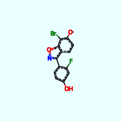 [O]c1ccc2c(-c3ccc(O)cc3F)noc2c1Br